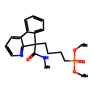 CCCCOP(=O)(CCCCC1(C(=O)NCCC)c2ccccc2-c2cccnc21)OCCCC